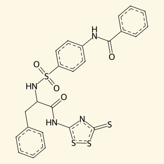 O=C(Nc1ccc(S(=O)(=O)NC(Cc2ccccc2)C(=O)Nc2nc(=S)ss2)cc1)c1ccccc1